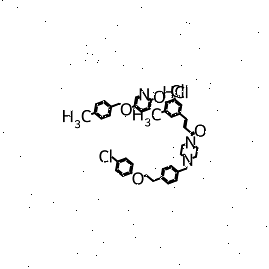 Cc1ccc(COc2ccc(Oc3c(C)cc(C=CC(=O)N4CCN(Cc5ccc(CCOc6ccc(Cl)cc6)cc5)CC4)cc3Cl)nc2)cc1.Cl